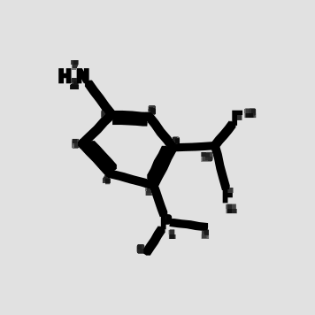 CP(C)c1ccc(N)cc1C(F)F